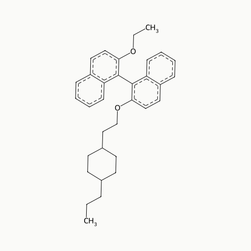 CCCC1CCC(CCOc2ccc3ccccc3c2-c2c(OCC)ccc3ccccc23)CC1